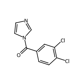 O=C(c1ccc(Cl)c(Cl)c1)n1ccnc1